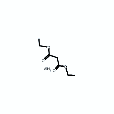 CCOC(=O)CC(=O)OCC.[AlH3]